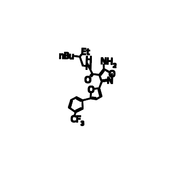 CCCCC(CC)CNC(=O)c1c(-c2ccc(-c3cccc(C(F)(F)F)c3)o2)noc1N